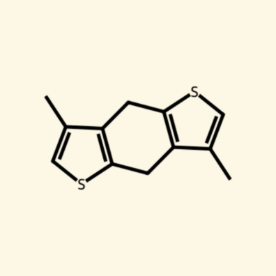 Cc1csc2c1Cc1scc(C)c1C2